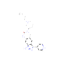 Cc1cc(-c2n[nH]c3cc4c(cc23)CN([C@@H]2CCCN(CCC(C)C)C2)C(=O)N4)ccn1